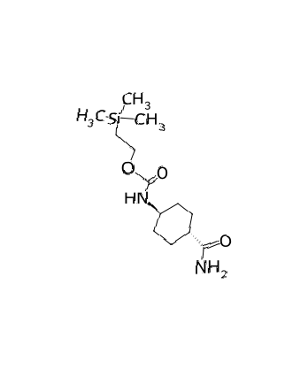 C[Si](C)(C)CCOC(=O)N[C@H]1CC[C@H](C(N)=O)CC1